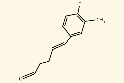 Cc1cc(C=CCCC=O)ccc1F